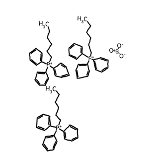 CCCCCC[P+](c1ccccc1)(c1ccccc1)c1ccccc1.CCCCCC[P+](c1ccccc1)(c1ccccc1)c1ccccc1.CCCCCC[P+](c1ccccc1)(c1ccccc1)c1ccccc1.[O-]B([O-])[O-]